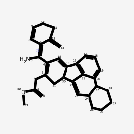 C=C(CC1=C(/C(N)=C2/C=CCCC2=C)C=C2c3cccc4c3C(=CC3CCCCC43)C2C1)OC